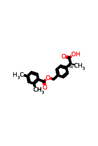 Cc1ccc(C(=O)OCc2ccc([C@H](C)C(=O)O)cc2)c(C)c1